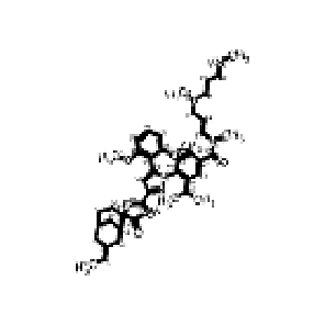 CCC1CC2CCC(NC(=O)c3cc(-c4c(OC)cccc4OC)n(-c4ccc(C(=O)N(C)CCCN(C)CCCNC)cc4C(C)C)n3)(C(=O)O)C(C1)C2